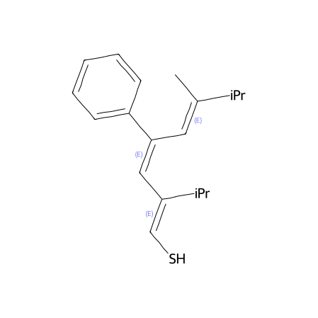 C\C(=C/C(=C\C(=C\S)C(C)C)c1ccccc1)C(C)C